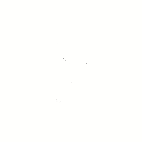 COCCC[S+]([O-])CSc1nc(-c2cccs2)cc(-c2ccccc2)c1C#N